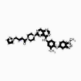 Cc1cc(Nc2ncnc3cnc(N4CCN(C(=O)/C=C/Cn5cccn5)CC4)nc23)ccc1Oc1ccc2c(c1)nnn2C